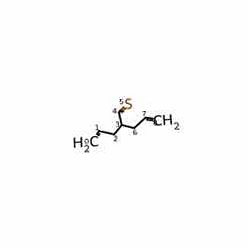 C=CCC([C]=S)CC=C